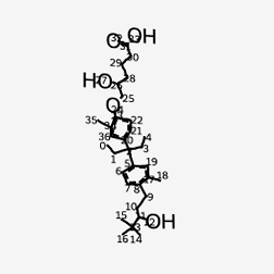 CCC(CC)(c1ccc(CCC(O)C(C)(C)C)c(C)c1)c1ccc(OC[C@@H](O)CCCC(=O)O)c(C)c1